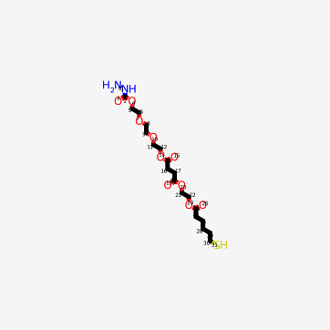 NNC(=O)OCCOCCOCCOC(=O)CCC(=O)OCCOC(=O)CCCCCS